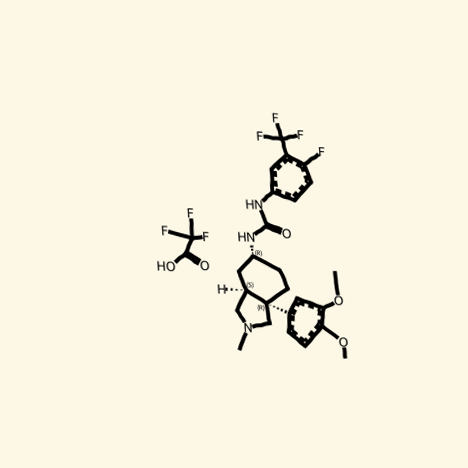 COc1ccc([C@@]23CC[C@@H](NC(=O)Nc4ccc(F)c(C(F)(F)F)c4)C[C@@H]2CN(C)C3)cc1OC.O=C(O)C(F)(F)F